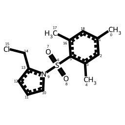 Cc1cc(C)c(S(=O)(=O)n2cccc2CCl)c(C)c1